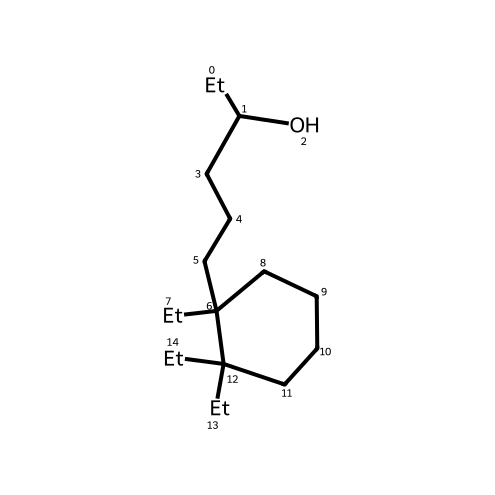 CCC(O)CCCC1(CC)CCCCC1(CC)CC